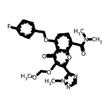 COCOc1c(-c2ncnn2C)oc2c(C(=O)N(C)C)ccc(OCc3ccc(F)cc3)c2c1=O